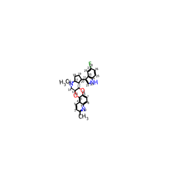 Cc1ccc2c3c(ccc2n1)OC[C@H](CN(C)C1CCC(c2c[nH]c4ccc(F)cc24)C1)O3